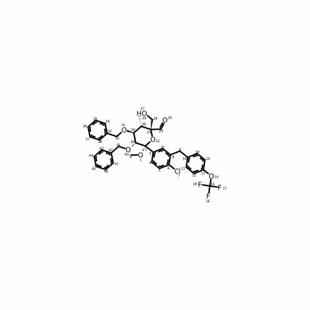 CO[C@@]1(c2ccc(Cl)c(Cc3ccc(OC(F)(F)F)cc3)c2)O[C@](C=O)(CO)[C@@H](C)[C@H](OCc2ccccc2)[C@H]1OCc1ccccc1